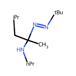 CCCNC(C)(CC(C)C)N=NC(C)(C)C